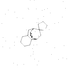 C1CCC2C(C1)CC1C3CCCC3C2CC12CCCO2